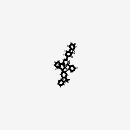 CC1(C)c2ccccc2-c2cc3c4ccccc4n(-c4ccccc4-c4nc(-c5ccccc5)cc(-c5ccc6c(c5)oc5ccccc56)n4)c3cc21